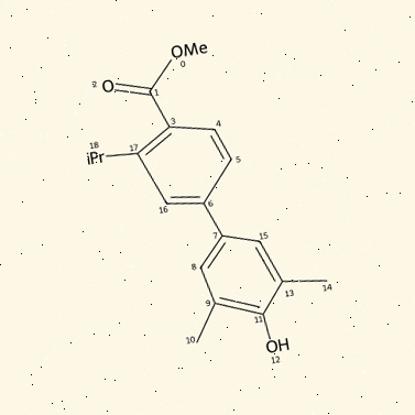 COC(=O)c1ccc(-c2cc(C)c(O)c(C)c2)cc1C(C)C